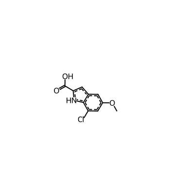 COc1cc(Cl)c2[nH]c(C(=O)O)cc2c1